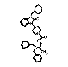 CC(COC(=O)N1CCC(n2c(=O)n(CC3CCCCC3)c3ccccc32)CC1)N(Cc1ccccc1)Cc1ccccc1